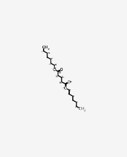 CCCCCCCOC(=O)CCCC(=O)OCCCCCCC